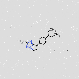 CCC(CC)C1=CCC(C2CCn3nc(C)nc32)C=C1